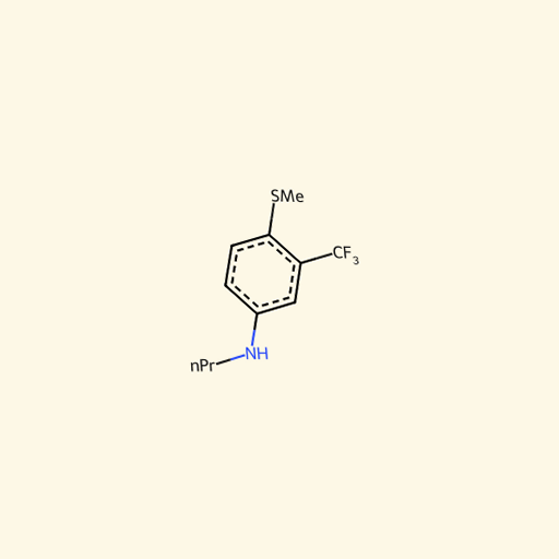 CCCNc1ccc(SC)c(C(F)(F)F)c1